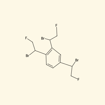 FCC(Br)c1ccc(C(Br)CF)c(C(Br)CF)c1